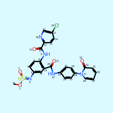 CO[SH](=O)=Nc1ccc(NC(=O)c2ccc(Cl)cn2)c(C(=O)Nc2ccc(-n3ccccc3=O)cc2)c1